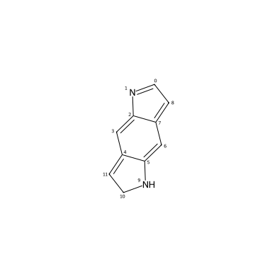 C1=Nc2cc3c(cc2=C1)NCC=3